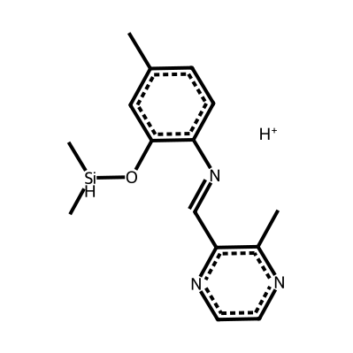 Cc1ccc(N=Cc2nccnc2C)c(O[SiH](C)C)c1.[H+]